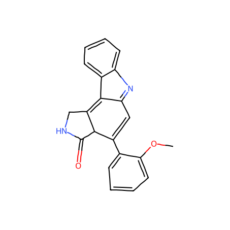 COc1ccccc1C1=CC2=Nc3ccccc3C2=C2CNC(=O)C12